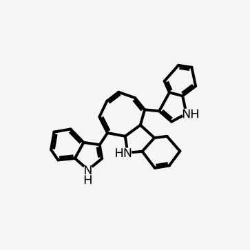 C1=CC2NC3\C(c4c[nH]c5ccccc45)=C/C=C\C=C(\c4c[nH]c5ccccc45)C3C2CC1